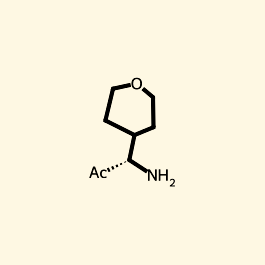 CC(=O)[C@@H](N)C1CCOCC1